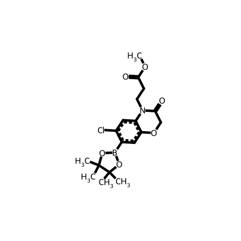 COC(=O)CCN1C(=O)COc2cc(B3OC(C)(C)C(C)(C)O3)c(Cl)cc21